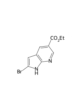 CCOC(=O)c1cnc2[nH]c(Br)cc2c1